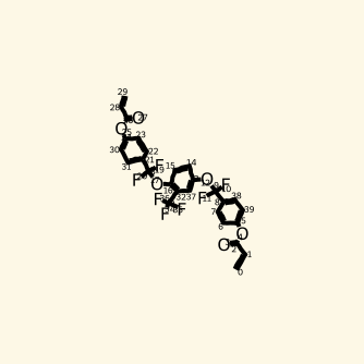 C=CC(=O)Oc1ccc(C(F)(F)Oc2ccc(OC(F)(F)c3ccc(OC(=O)C=C)cc3)c(C(F)(F)F)c2)cc1